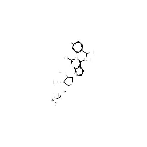 CC(Nc1nc(Cl)nc2c1ccn2[C@@H]1O[C@H](COCP(=O)(O)O)[C@@H](O)[C@H]1O)c1ccc(F)cc1